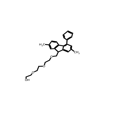 Cc1ccc2c(c1)C(COCCOCCOCCO)c1cc(C)cc(-c3ccccc3)c1-2